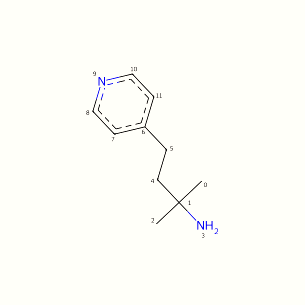 CC(C)(N)CCc1ccncc1